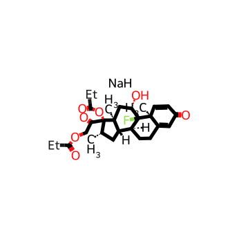 CCC(=O)OCC(=O)[C@@]1(OC(=O)CC)[C@@H](C)C[C@H]2[C@@H]3CCC4=CC(=O)C=C[C@]4(C)C3(F)[C@@H](O)C[C@@]21C.[NaH]